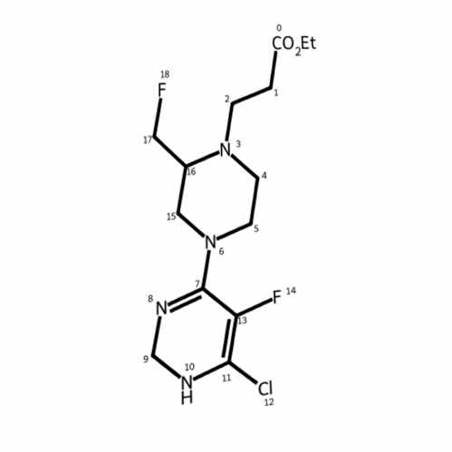 CCOC(=O)CCN1CCN(C2=NCNC(Cl)=C2F)CC1CF